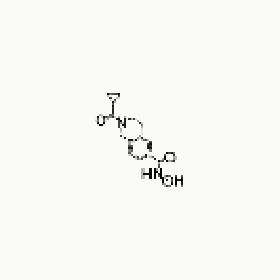 O=C(NO)c1ccc2c(c1)CCN(C(=O)C1CC1)C2